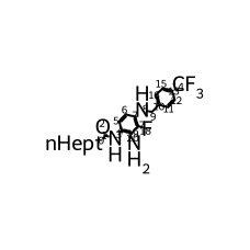 CCCCCCCC(=O)Nc1ccc(NCc2ccc(C(F)(F)F)cc2)c(F)c1N